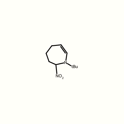 CC(C)(C)N1C=CCCCC1[N+](=O)[O-]